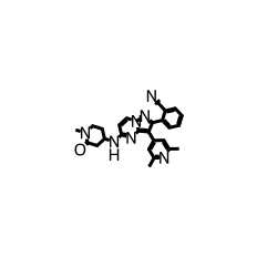 Cc1cc(-c2c(-c3ccccc3C#N)nn3ccc(NC4CCN(C)C(=O)C4)nc23)cc(C)n1